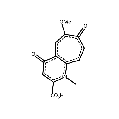 COc1cc2c(=O)cc(C(=O)O)n(C)c2ccc1=O